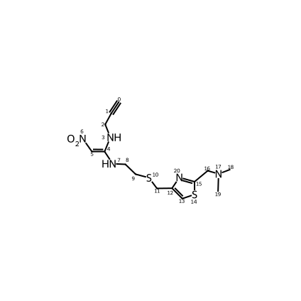 C#CCNC(=C[N+](=O)[O-])NCCSCc1csc(CN(C)C)n1